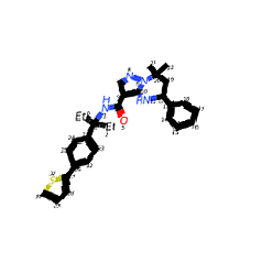 CCC(CC)(NC(=O)c1cnn2c1NC(c1ccccc1)CC2(C)C)c1ccc(-c2cccs2)cc1